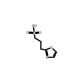 O=S(=O)(O)CCCc1n[c]co1